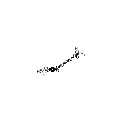 C=C(C)C(=O)OCCOCCOCCOCCOC(=O)c1ccc(N(CC(=O)O)CC(=O)O)cc1